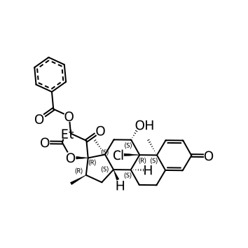 CCC(=O)O[C@]1(C(=O)COC(=O)c2ccccc2)[C@H](C)C[C@H]2[C@@H]3CCC4=CC(=O)C=C[C@]4(C)[C@@]3(Cl)[C@@H](O)C[C@@]21C